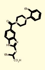 CC(C)(C)c1ccccc1N1CCN(C(=O)c2ccc3[nH]c(SC(C(=O)O)C(C)(C)C)nc3c2)CC1